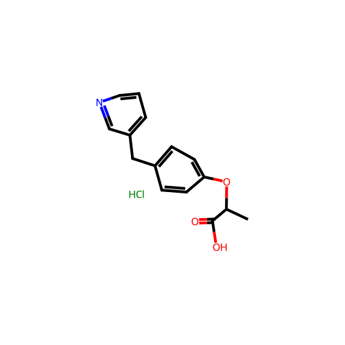 CC(Oc1ccc(Cc2cccnc2)cc1)C(=O)O.Cl